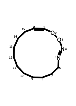 C1=C\OO/N=N/CCCCCCCCCC/1